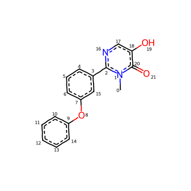 Cn1c(-c2cccc(Oc3ccccc3)c2)ncc(O)c1=O